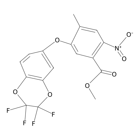 COC(=O)c1cc(Oc2ccc3c(c2)OC(F)(F)C(F)(F)O3)c(C)cc1[N+](=O)[O-]